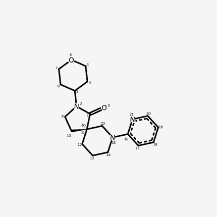 O=C1N(C2CCOCC2)CC[C@@]12CCCN(c1cc[c]cn1)C2